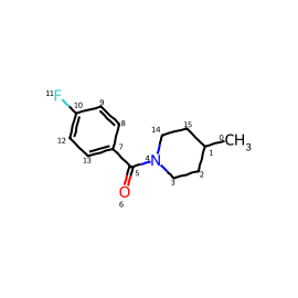 CC1CCN(C(=O)c2ccc(F)cc2)CC1